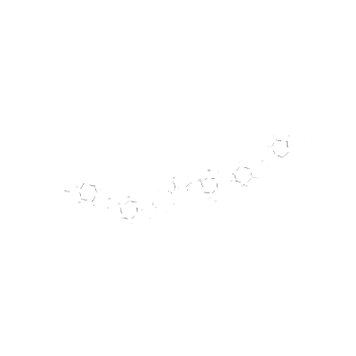 Cc1ccc(COc2ccc(Oc3cc(C)c(C=CC(=O)N4CCN(Cc5ccc(COc6ccc(C(C)C)cc6)cc5)CC4)cc3Cl)nc2)cc1